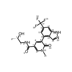 C[C@H](O)CNC(=O)c1cc(-c2cc(C(F)(F)F)cc3[nH]ncc23)c(=O)n(C)c1